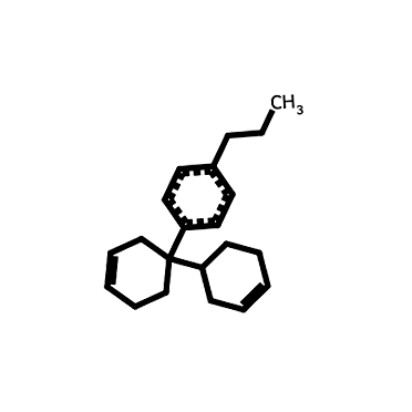 CCCc1ccc(C2(C3CC=CCC3)CC=CCC2)cc1